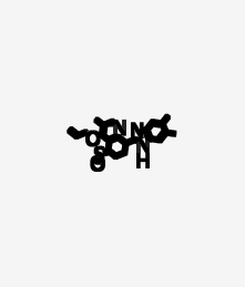 C=CCOc1c(C)cnc2c1C(=S=O)CCC2c1nc2cc(C)c(C)cc2[nH]1